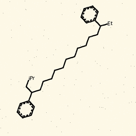 CCC(CCCCCCCCCCCC(CC(C)C)c1ccccc1)c1ccccc1